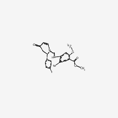 COC(=O)c1cc(Br)c(NCN2C=CC(=O)CC2c2ccc(F)cc2)cc1OC